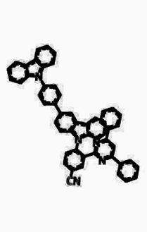 N#Cc1ccc(-n2c3ccccc3c3cc(-c4ccc(-n5c6ccccc6c6ccccc65)cc4)ccc32)c(-c2nc(-c3ccccc3)cc(-c3ccccc3)n2)c1